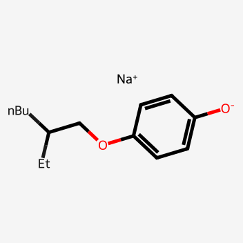 CCCCC(CC)COc1ccc([O-])cc1.[Na+]